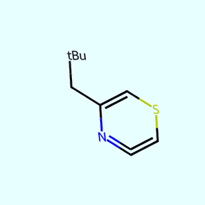 CC(C)(C)CC1=CSC=C=N1